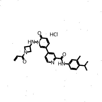 C=CC(=O)N1CC(Nn2cc(-c3ccnc(C(=O)Nc4ccc(C(C)C)c(C)c4)c3)ccc2=O)C1.Cl